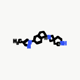 Cc1cnn(-c2ccc3c(c2)CC[C@H]3N2CC3(CCNCC3)C2)c1